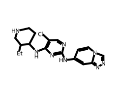 CCC1CNCCC1Nc1nc(Nc2ccn3cnnc3c2)ncc1Cl